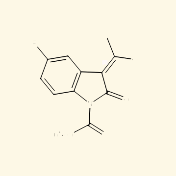 CCCCCCCCCC(=O)N1C(=O)/C(=C(/C)O)c2cc(F)ccc21